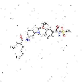 CCCCC(CC)C(=O)Nc1ccc2ccn(Cc3ccc(C(=O)NS(C)(=O)=O)cc3OC)c2c1